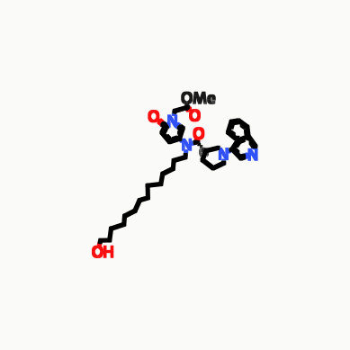 COC(=O)Cn1cc(N(CCCCCCCCCCCCCCO)C(=O)[C@H]2CCCN(c3cncc4ccccc34)C2)ccc1=O